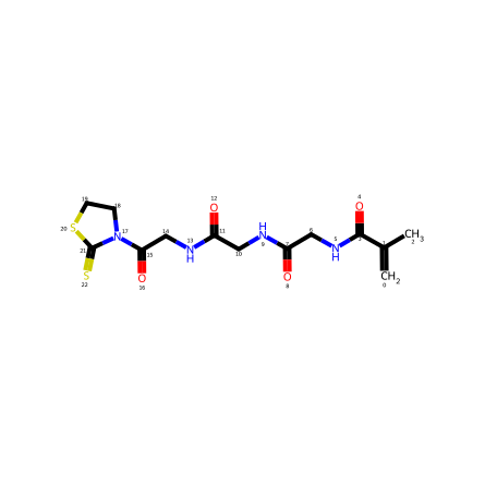 C=C(C)C(=O)NCC(=O)NCC(=O)NCC(=O)N1CCSC1=S